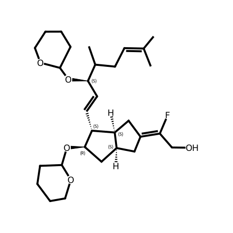 CC(C)=CCC(C)[C@@H](C=C[C@@H]1[C@H]2CC(=C(F)CO)C[C@H]2C[C@H]1OC1CCCCO1)OC1CCCCO1